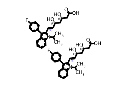 CC(C)n1c(/C=C/[C@H](O)C[C@H](O)CC(=O)O)c(-c2ccc(F)cc2)c2ccccc21.CC(C)n1c(/C=C/[C@H](O)C[C@H](O)CC(=O)O)c(-c2ccc(F)cc2)c2ccccc21